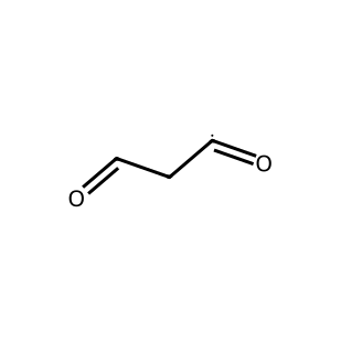 O=[C]CC=O